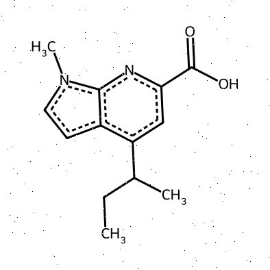 CCC(C)c1cc(C(=O)O)nc2c1ccn2C